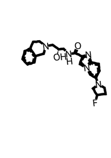 O=C(NC[C@H](O)CN1CCc2ccccc2C1)c1cn2cc(N3CCC(F)C3)ccc2n1